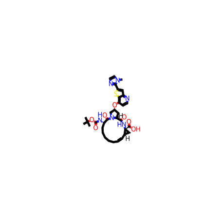 Cn1ccnc1-c1cc2nccc(O[C@@H]3C[C@H]4C(=O)N[C@]5(C(=O)O)C[C@H]5C=CCCCCC[C@H](NC(=O)OC(C)(C)C)C(=O)N4C3)c2s1